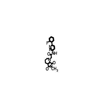 CN1C(=O)C2=C(C1=O)N(CC(=O)Nc1ccc(-c3ccccc3F)nn1)CCC2